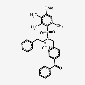 COc1cc(C)c(S(=O)(=O)N(Cc2ccc(C(=O)c3ccccc3)cc2)[C@@H](Cc2ccccc2)C(=O)O)c(C)c1C